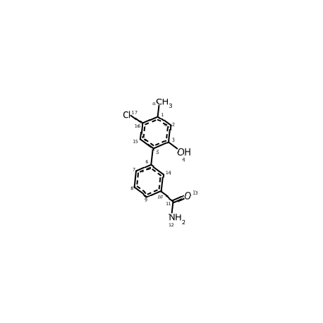 Cc1cc(O)c(-c2cccc(C(N)=O)c2)cc1Cl